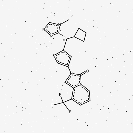 Cn1cnnc1[C@@H](c1cc(-n2cc3c(C(F)(F)F)cccn3c2=O)cs1)C1CCC1